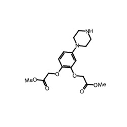 COC(=O)COc1ccc(N2CCNCC2)cc1OCC(=O)OC